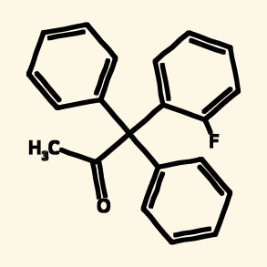 CC(=O)C(c1ccccc1)(c1ccccc1)c1ccccc1F